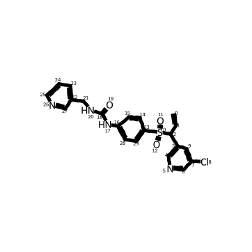 C=CC(c1cncc(Cl)c1)S(=O)(=O)c1ccc(NC(=O)NCc2cccnc2)cc1